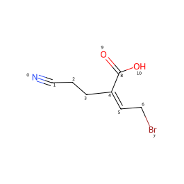 N#CCCC(=CCBr)C(=O)O